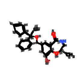 C[C@H]1CNC(=O)c2cc(CO[Si](c3ccccc3)(c3ccccc3)C(C)(C)C)cc(Br)c2O1